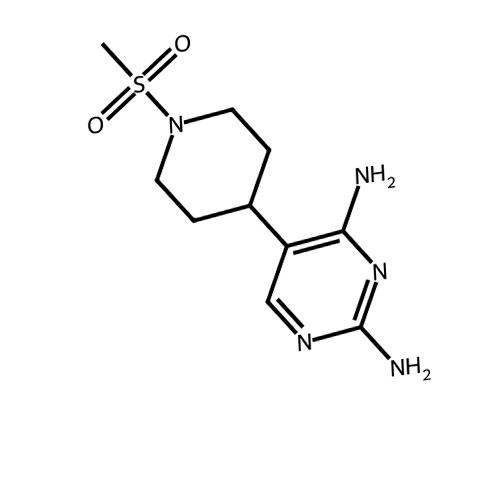 CS(=O)(=O)N1CCC(c2cnc(N)nc2N)CC1